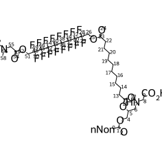 CCCCCCCCCC(=O)OCC(CNCC(=O)O)OC(=O)CCCCCCCCCCC(=O)OCC(F)(F)C(F)(F)C(F)(F)C(F)(F)C(F)(F)C(F)(F)C(F)(F)C(F)(F)COC(=O)CN(C)C